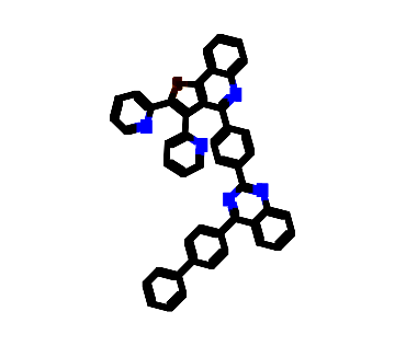 c1ccc(-c2ccc(-c3nc(-c4ccc(-c5nc6ccccc6c6sc(-c7ccccn7)c(-c7ccccn7)c56)cc4)nc4ccccc34)cc2)cc1